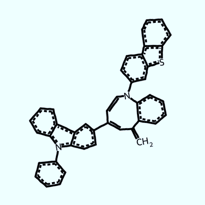 C=C1/C=C(c2ccc3c(c2)c2ccccc2n3-c2ccccc2)\C=C/N(c2ccc3c(c2)sc2ccccc23)c2ccccc21